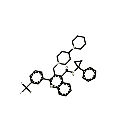 O=C(NC1(c2ccccc2)CC1)c1c(CN2CCC(N3CCCCC3)CC2)c(-c2cccc(C(F)(F)F)c2)nc2ccccc12